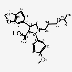 COc1ccc(C2C(C(=O)O)C(c3ccc4c(c3)OCO4)CN2CCCOC(C)C)cc1